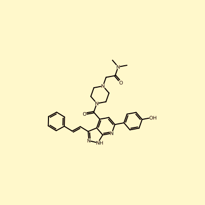 CN(C)C(=O)CN1CCN(C(=O)c2cc(-c3ccc(O)cc3)nc3[nH]nc(C=Cc4ccccc4)c23)CC1